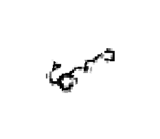 C(=N/C1CC1)/c1ccnc(CNCCCN2CCCC2)c1